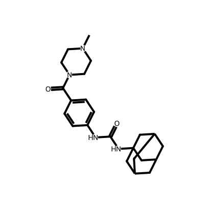 CN1CCN(C(=O)c2ccc(NC(=O)NC34CC5CC(CC(C5)C3)C4)cc2)CC1